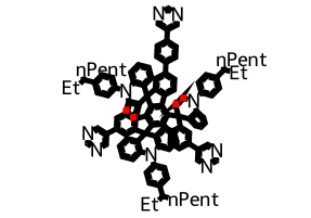 CCCCCC(CC)c1ccc(N2c3ccccc3C3(c4cc(-c5ccc(-c6cncnc6)cc5)ccc4-c4c3c3c(c5c4C4(c6cc(-c7cncnc7)ccc6-5)c5ccccc5N(c5ccc(C(CC)CCCCC)cc5)c5ccccc54)C4(c5cc(-c6cncnc6)ccc5-3)c3ccccc3N(c3ccc(C(CC)CCCCC)cc3)c3ccccc34)c3ccccc32)cc1